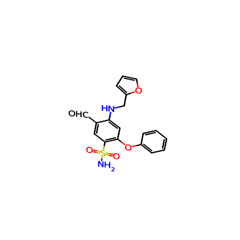 NS(=O)(=O)c1cc(C=O)c(NCc2ccco2)cc1Oc1ccccc1